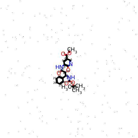 COC(=O)c1cnc2c(c1)NC(=O)[C@@H]([C@H](NC(=O)OC(C)(C)C)c1ccccc1)O2